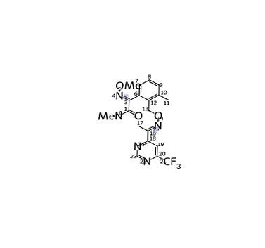 CNC(=O)/C(=N/OC)c1cccc(C)c1CO/N=C(\C)c1cc(C(F)(F)F)ncn1